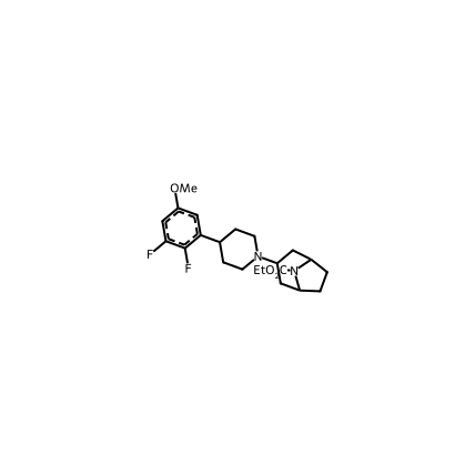 CCOC(=O)N1C2CCC1CC(N1CCC(c3cc(OC)cc(F)c3F)CC1)C2